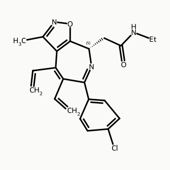 C=CC1=C(C=C)c2c(C)noc2[C@H](CC(=O)NCC)N=C1c1ccc(Cl)cc1